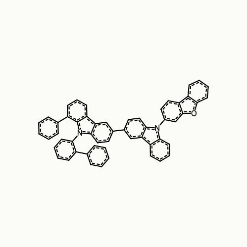 c1ccc(-c2ccccc2-n2c3ccc(-c4ccc5c(c4)c4ccccc4n5-c4ccc5c(c4)oc4ccccc45)cc3c3cccc(-c4ccccc4)c32)cc1